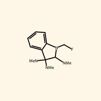 CNC1N(CF)c2ccccc2C1(NC)NC